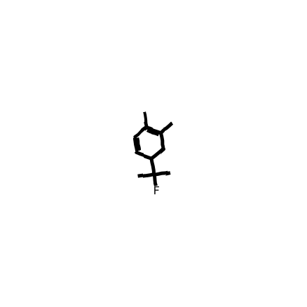 CC1=C(C)CC(C(C)(C)F)C=C1